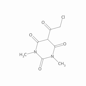 CN1C(=O)C(C(=O)CCl)C(=O)N(C)C1=O